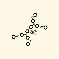 CC1(C)c2cc(N(c3ccc(/C=C/c4ccccc4)cc3)c3ccc(Oc4ccccc4)cc3)ccc2-c2ccc(N(c3ccc(/C=C/c4ccccc4)cc3)c3ccc(Oc4ccccc4)cc3)cc21